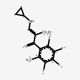 CCOC(=O)/C(=C\NC1CC1)C(=O)c1c(C)c(F)c(F)c(F)c1F